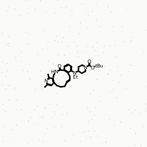 CCN(c1cccc2c1C/C=C/CCCc1cc(C)nc(C)c1CNC2=O)C1CCN(C(=O)OC(C)(C)C)CC1